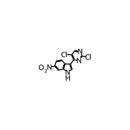 O=[N+]([O-])c1ccc2c(-c3nc(Cl)ncc3Cl)c[nH]c2c1